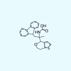 CC(CC1c2ccccc2-c2ccccc21)(NC(=O)O)C1OCCc2sccc21